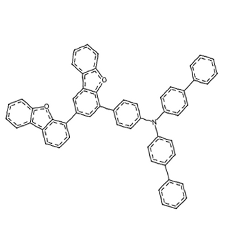 c1ccc(-c2ccc(N(c3ccc(-c4ccccc4)cc3)c3ccc(-c4cc(-c5cccc6c5oc5ccccc56)cc5c4oc4ccccc45)cc3)cc2)cc1